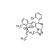 CCCOS(=O)(=O)c1c(C)cccc1-c1cc2c(s1)-n1c(C)nnc1CN=C2c1ccccc1Cl